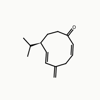 C=C1/C=C/[C@@H](C(C)C)CCC(=O)/C=C\C1